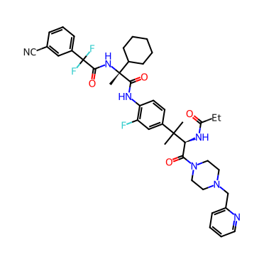 CCC(=O)N[C@@H](C(=O)N1CCN(Cc2ccccn2)CC1)C(C)(C)c1ccc(NC(=O)[C@](C)(NC(=O)C(F)(F)c2cccc(C#N)c2)C2CCCCC2)c(F)c1